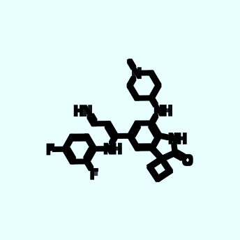 CN1CCC(Nc2cc(/C(=C/C=N)Nc3ccc(F)cc3F)cc3c2NC(=O)C32CCC2)CC1